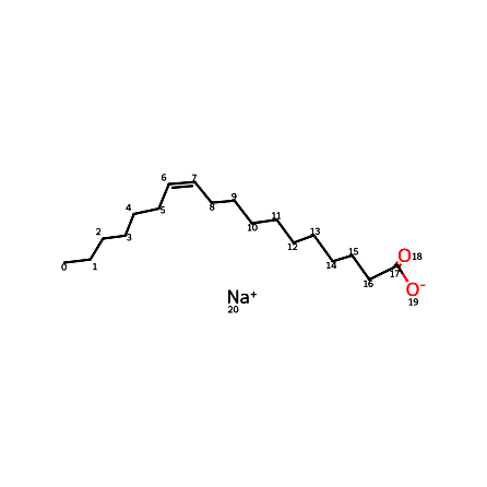 CCCCCC/C=C\CCCCCCCCCC(=O)[O-].[Na+]